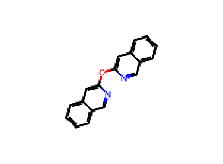 c1ccc2cc(Oc3cc4ccccc4cn3)ncc2c1